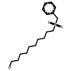 O=S(=O)(CCCCCCCCCCCl)Cc1ccccc1